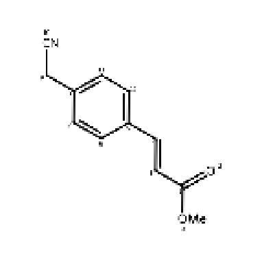 COC(=O)C=Cc1ccc(CC#N)cc1